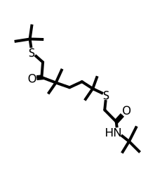 CC(C)(C)NC(=O)CSC(C)(C)CCC(C)(C)C(=O)CSC(C)(C)C